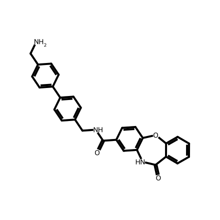 NCc1ccc(-c2ccc(CNC(=O)c3ccc4c(c3)NC(=O)c3ccccc3O4)cc2)cc1